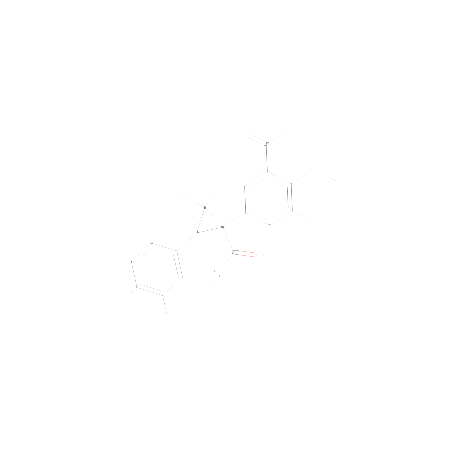 COc1c(F)cc(C2(C(N)=O)C(c3ccc(F)c(Cl)c3)C2(Cl)Cl)cc1C(=O)O